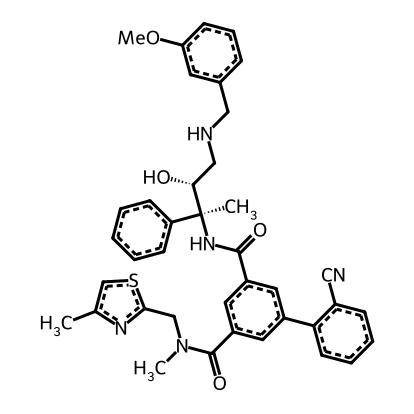 COc1cccc(CNC[C@@H](O)[C@@](C)(NC(=O)c2cc(C(=O)N(C)Cc3nc(C)cs3)cc(-c3ccccc3C#N)c2)c2ccccc2)c1